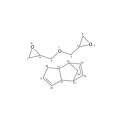 C(OCC1CO1)C1CO1.C1=CC2C3C=CC(C3)C2C1